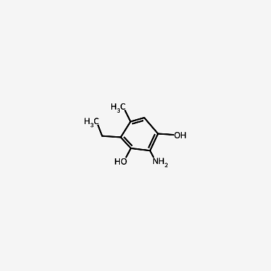 CCc1c(C)cc(O)c(N)c1O